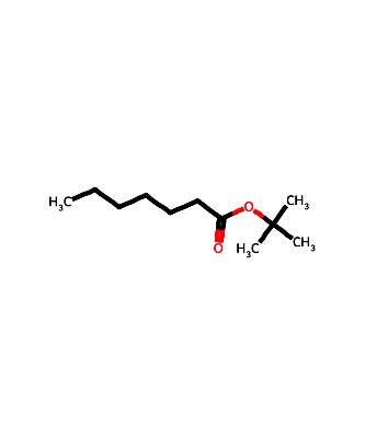 CCCCCCC(=O)OC(C)(C)C